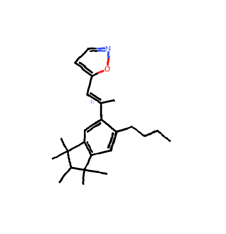 CCCCc1cc2c(cc1/C(C)=C/c1ccno1)C(C)(C)C(C)C2(C)C